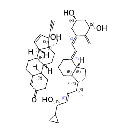 C#C[C@]1(O)C=C[C@H]2[C@@H]3CCC4=CC(=O)CC[C@@H]4[C@H]3CC[C@@]21CC.C=C1/C(=C\C=C2/CCC[C@]3(C)[C@@H]([C@H](C)/C=C/[C@@H](O)C4CC4)CC[C@@H]23)C[C@@H](O)C[C@@H]1O